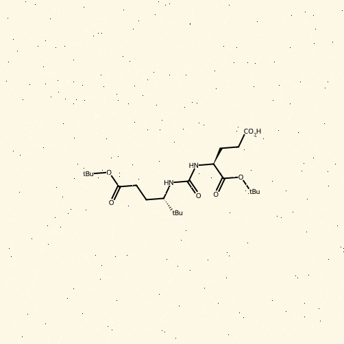 CC(C)(C)OC(=O)CC[C@H](NC(=O)N[C@@H](CCC(=O)O)C(=O)OC(C)(C)C)C(C)(C)C